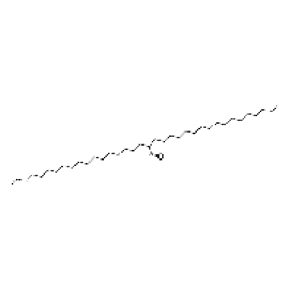 CCCCCCCCCCCCCCCCCCC([C]=O)CCCCCCCCCCCCCCCCC